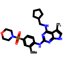 COc1cc(S(=O)(=O)N2CCOCC2)ccc1Nc1nc(NCC2CCCC2)c2c(C(F)(F)F)c[nH]c2n1